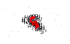 C=C/C=C(\C)[C@H](C[C@@H]1CC[C@@H](C)[C@](O)(C(=O)C(=O)N2CCCC[C@H]2C(=O)O[C@@H](CC(=O)[C@H](C)/C=C(\C)[C@@H](O)[C@@H](OC)C(=O)[C@H](C)C[C@H](C)/C=C/C)[C@H](C)C[C@@H]2CC[C@@H](O)[C@H](OC)C2)O1)C(=C)/C(=C\C(=C/C)OCCOC)OC